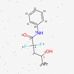 CCCC(O)CC(F)(F)C(=O)Nc1ccccc1